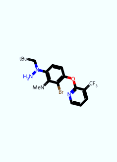 CNc1c(N(N)CC(C)(C)C)ccc(Oc2ncccc2C(F)(F)F)c1Br